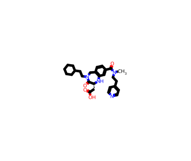 CN(CCc1ccncc1)C(=O)c1ccc2c(c1)N[C@H](CC(=O)O)C(=O)N(CCC1CCCCC1)C2